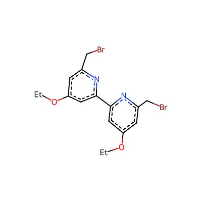 CCOc1cc(CBr)nc(-c2cc(OCC)cc(CBr)n2)c1